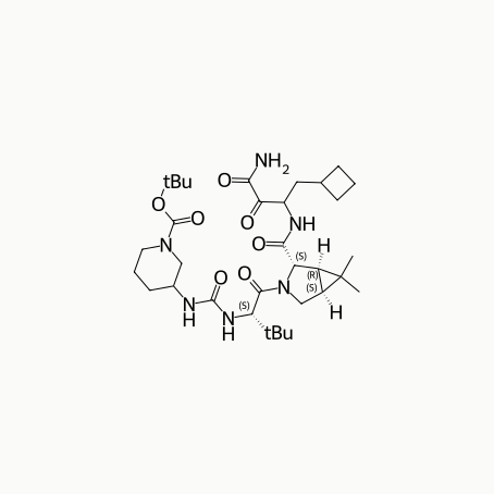 CC(C)(C)OC(=O)N1CCCC(NC(=O)N[C@H](C(=O)N2C[C@H]3[C@@H]([C@H]2C(=O)NC(CC2CCC2)C(=O)C(N)=O)C3(C)C)C(C)(C)C)C1